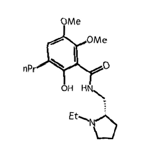 CCCc1cc(OC)c(OC)c(C(=O)NC[C@@H]2CCCN2CC)c1O